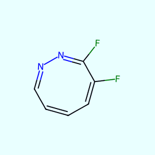 FC1=C/C=C\C=N/N=C\1F